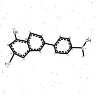 CB(O)c1ccc(-c2ccc3c(O)cc(O)cc3c2)cc1